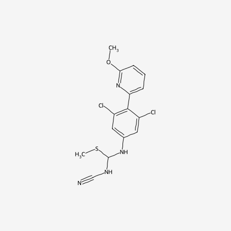 COc1cccc(-c2c(Cl)cc(NC(NC#N)SC)cc2Cl)n1